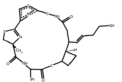 CC(C)C1NC(=O)[C@]2(C)CSC(=N2)c2csc(n2)CNC(=O)CC(/C=C/CCS)[C@H]2CCC2CC1=O